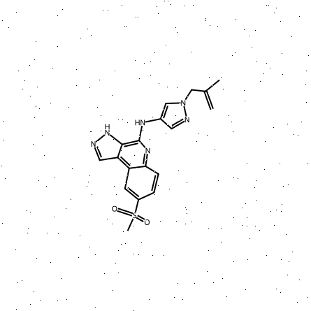 C=C(C)Cn1cc(Nc2nc3ccc(S(C)(=O)=O)cc3c3cn[nH]c23)cn1